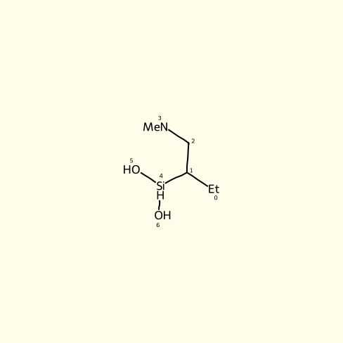 CCC(CNC)[SiH](O)O